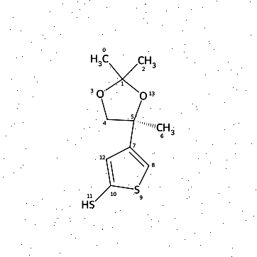 CC1(C)OC[C@](C)(c2csc(S)c2)O1